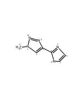 Cn1cc(C2=NC=C[N]2)nn1